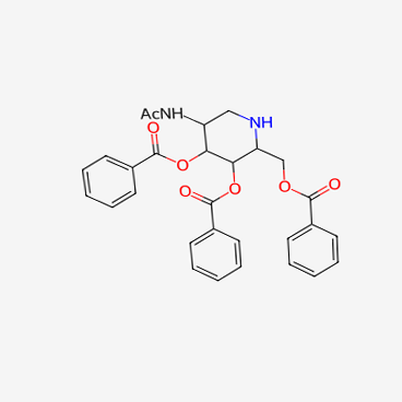 CC(=O)NC1CNC(COC(=O)c2ccccc2)C(OC(=O)c2ccccc2)C1OC(=O)c1ccccc1